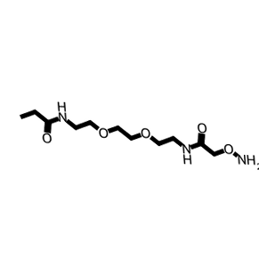 CCC(=O)NCCOCCOCCNC(=O)CON